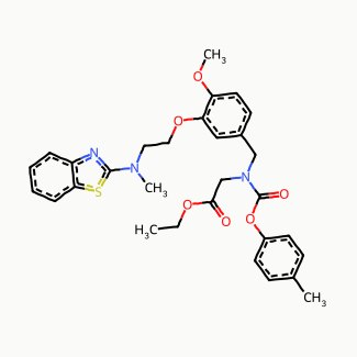 CCOC(=O)CN(Cc1ccc(OC)c(OCCN(C)c2nc3ccccc3s2)c1)C(=O)Oc1ccc(C)cc1